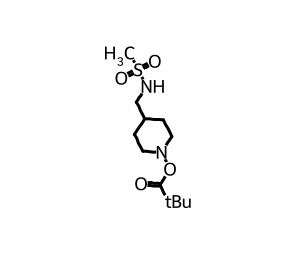 CC(C)(C)C(=O)ON1CCC(CNS(C)(=O)=O)CC1